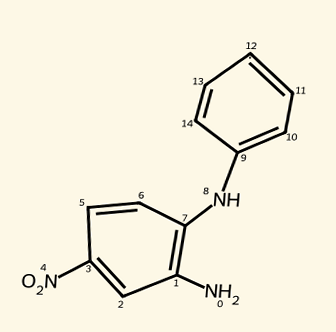 Nc1cc([N+](=O)[O-])ccc1Nc1cc[c]cc1